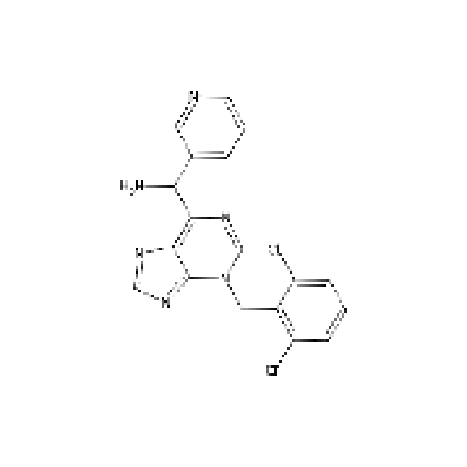 NC(c1cccnc1)c1ncn(Cc2c(Cl)cccc2Cl)c2ncnc1-2